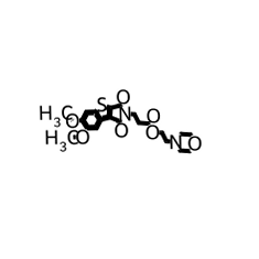 COc1cc2sc3c(c2cc1OC)C(=O)N(CCC(=O)OCCN1CCOCC1)C3=O